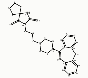 O=C1NC2(CCCC2)C(=O)N1CCCN1CCN(C2=Nc3ccccc3Sc3ccccc32)CC1